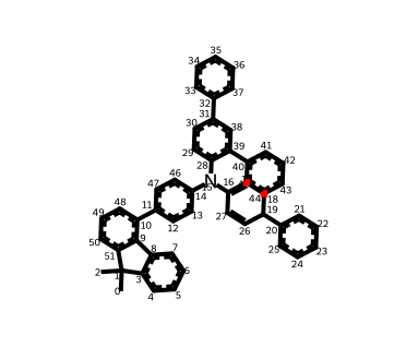 CC1(C)c2ccccc2-c2c(-c3ccc(N(C4=CCC(c5ccccc5)C=C4)c4ccc(-c5ccccc5)cc4-c4ccccc4)cc3)cccc21